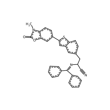 Cn1c(=O)oc2cc(-c3cc4cc(CC(C#N)N=C(c5ccccc5)c5ccccc5)ccc4s3)ccc21